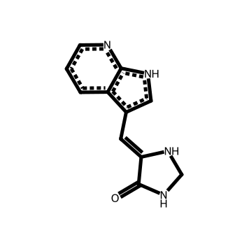 O=C1NCNC1=Cc1c[nH]c2ncccc12